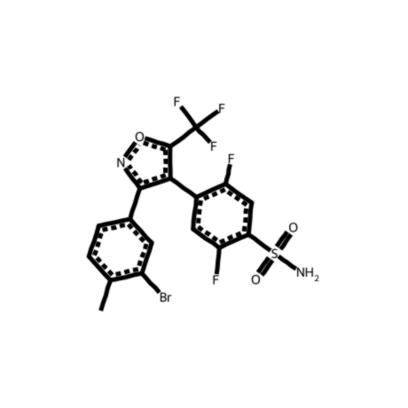 Cc1ccc(-c2noc(C(F)(F)F)c2-c2cc(F)c(S(N)(=O)=O)cc2F)cc1Br